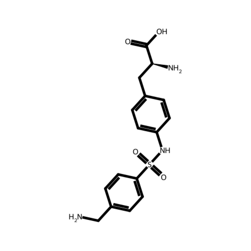 NCc1ccc(S(=O)(=O)Nc2ccc(C[C@H](N)C(=O)O)cc2)cc1